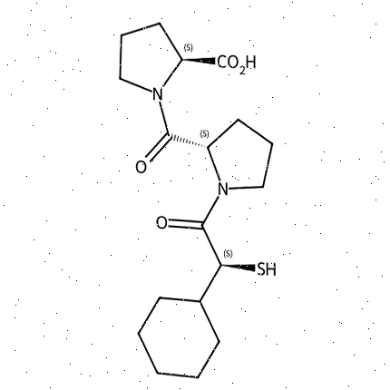 O=C(O)[C@@H]1CCCN1C(=O)[C@@H]1CCCN1C(=O)[C@@H](S)C1CCCCC1